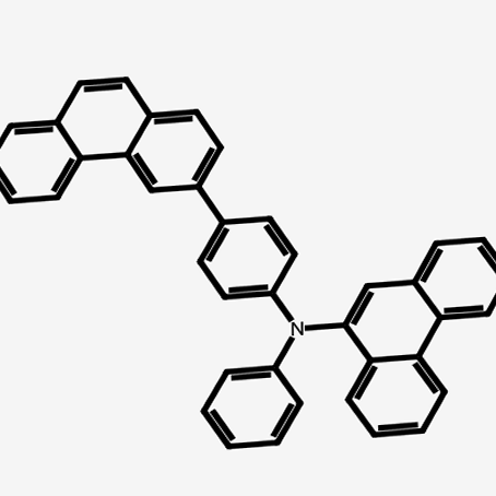 c1ccc(N(c2ccc(-c3ccc4ccc5ccccc5c4c3)cc2)c2cc3ccccc3c3ccccc23)cc1